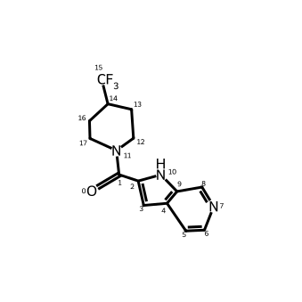 O=C(c1cc2ccncc2[nH]1)N1CCC(C(F)(F)F)CC1